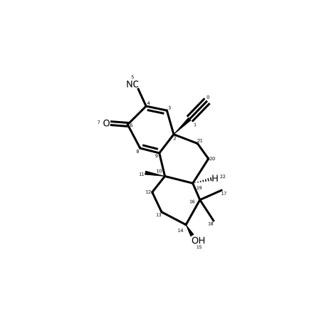 C#C[C@]12C=C(C#N)C(=O)C=C1[C@@]1(C)CC[C@H](O)C(C)(C)[C@@H]1CC2